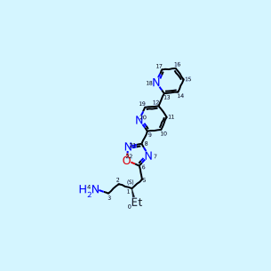 CC[C@@H](CCN)Cc1nc(-c2ccc(-c3ccccn3)cn2)no1